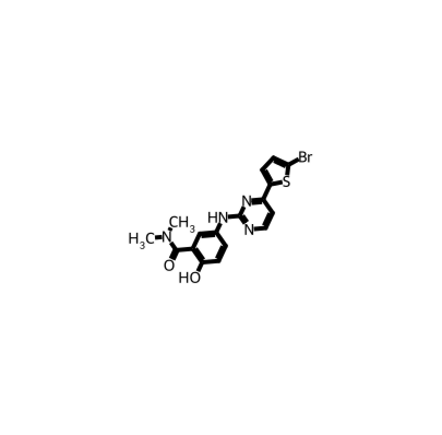 CN(C)C(=O)c1cc(Nc2nccc(-c3ccc(Br)s3)n2)ccc1O